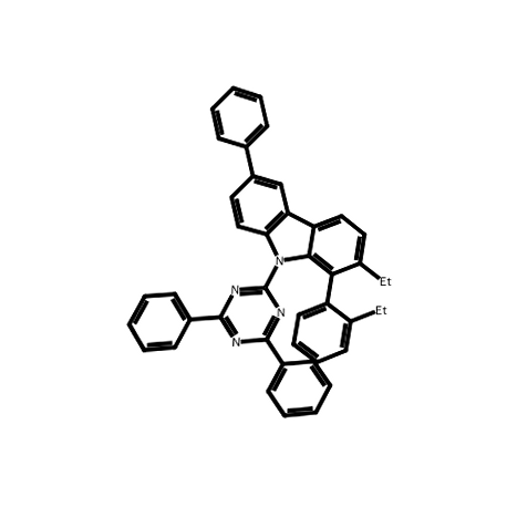 CCc1ccccc1-c1c(CC)ccc2c3cc(-c4ccccc4)ccc3n(-c3nc(-c4ccccc4)nc(-c4ccccc4)n3)c12